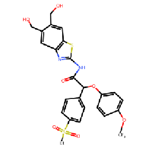 CCS(=O)(=O)c1ccc(C(Oc2ccc(OC(F)(F)F)cc2)C(=O)Nc2nc3cc(CO)c(CO)cc3s2)cc1